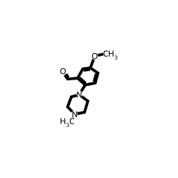 COc1ccc(N2CCN(C)CC2)c(C=O)c1